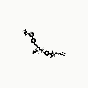 Cc1nn(COCCS(C)(C)C)c(C)c1-c1ccc(NC(=O)C(CCCCc2ccc(-c3ccnc(N4CC5OCC54)c3)cc2)NC(=O)C2(F)CC2)cc1